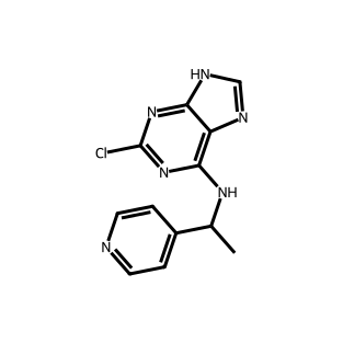 CC(Nc1nc(Cl)nc2[nH]cnc12)c1ccncc1